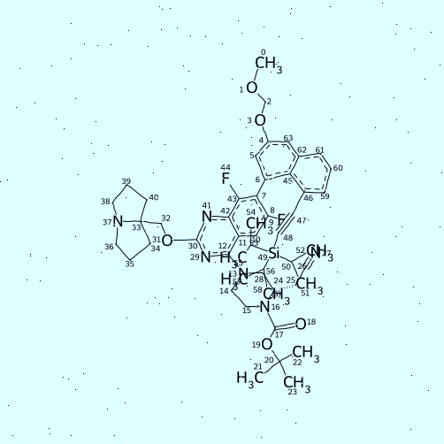 COCOc1cc(-c2c(F)cc3c(N4CCN(C(=O)OC(C)(C)C)[C@@H](CC#N)C4)nc(OCC45CCCN4CCC5)nc3c2F)c2c(C#C[Si](C(C)C)(C(C)C)C(C)C)cccc2c1